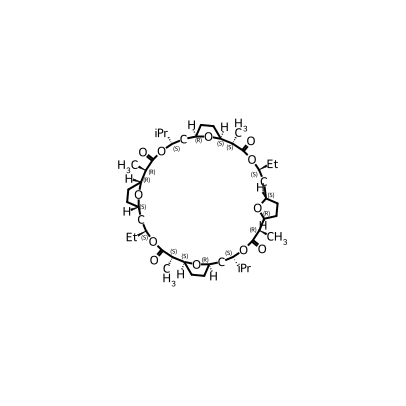 CC[C@H]1C[C@@H]2CC[C@@H](O2)[C@@H](C)C(=O)O[C@H](C(C)C)C[C@H]2CC[C@H](O2)[C@H](C)C(=O)O[C@@H](CC)C[C@@H]2CC[C@@H](O2)[C@@H](C)C(=O)O[C@H](C(C)C)C[C@H]2CC[C@H](O2)[C@H](C)C(=O)O1